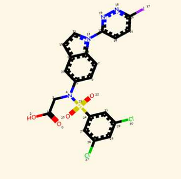 O=C(O)CN(c1ccc2c(ccn2-c2ccc(I)nn2)c1)S(=O)(=O)c1cc(Cl)cc(Cl)c1